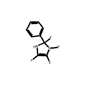 FC1=C(F)N(F)C(F)(c2ccccc2)N1